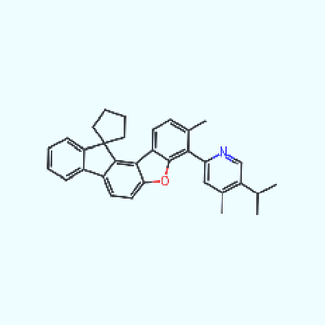 Cc1cc(-c2c(C)ccc3c2oc2ccc4c(c23)C2(CCCC2)c2ccccc2-4)ncc1C(C)C